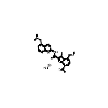 COCc1ccc(C(C)=O)c2sc(C(=O)Nc3ccc4c(CN(C)C)cccc4n3)c(C)c12.Cl.Cl